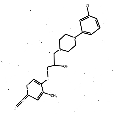 CC1=CC(=C=O)CC=C1OCC(O)CN1CCN(c2cccc(Cl)c2)CC1